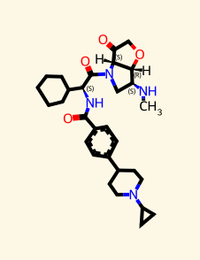 CN[C@H]1CN(C(=O)[C@@H](NC(=O)c2ccc(C3CCN(C4CC4)CC3)cc2)C2CCCCC2)[C@@H]2C(=O)CO[C@H]12